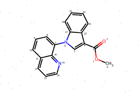 COC(=O)c1cn(-c2cccc3cccnc23)c2ccccc12